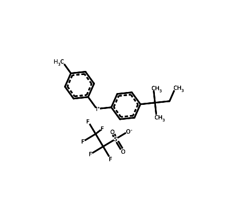 CCC(C)(C)c1ccc([I+]c2ccc(C)cc2)cc1.O=S(=O)([O-])C(F)(F)C(F)(F)F